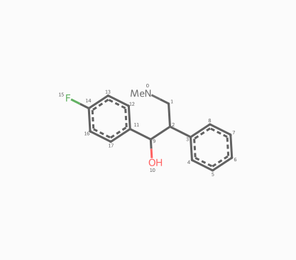 CNCC(c1ccccc1)C(O)c1ccc(F)cc1